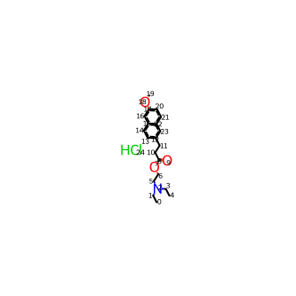 CCN(CC)CCOC(=O)CCc1ccc2cc(OC)ccc2c1.Cl